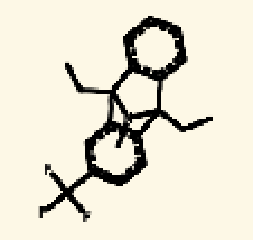 CCC12c3ccccc3C(CC)(c3cc(C(F)(F)F)ccc31)N2C